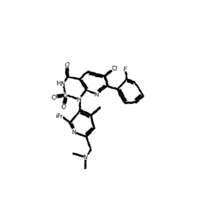 Cc1cc(CN(C)C)nc(C(C)C)c1N1c2nc(-c3ccccc3F)c(Cl)cc2C(=O)NS1(=O)=O